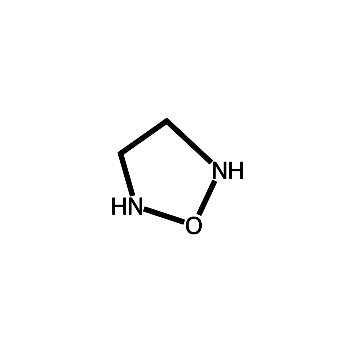 C1CNON1